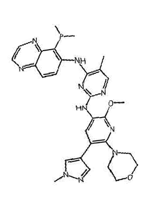 COc1nc(N2CCOCC2)c(-c2cnn(C)c2)cc1Nc1ncc(C)c(Nc2ccc3nccnc3c2P(C)C)n1